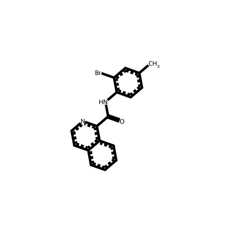 Cc1ccc(NC(=O)c2nccc3ccccc23)c(Br)c1